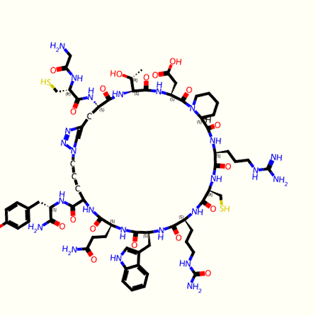 C[C@@H](O)[C@@H]1NC(=O)[C@@H](NC(=O)[C@H](CS)NC(=O)CN)Cc2cn(nn2)CCCC(C(=O)N[C@@H](Cc2ccc(O)cc2)C(N)=O)NC(=O)[C@H](CCC(N)=O)NC(=O)[C@H](Cc2c[nH]c3ccccc23)NC(=O)[C@H](CCCNC(N)=O)NC(=O)[C@H](CS)NC(=O)[C@H](CCCNC(=N)N)NC(=O)[C@@H]2CCCCN2C(=O)[C@H](CC(=O)O)NC1=O